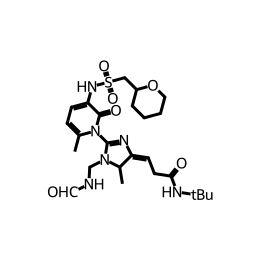 Cc1ccc(NS(=O)(=O)CC2CCCCO2)c(=O)n1C1=NC(=CCC(=O)NC(C)(C)C)C(C)N1CNC=O